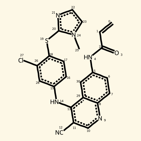 C=CC(=O)Nc1ccc2ncc(C#N)c(Nc3ccc(Sc4nccn4C)c(Cl)c3)c2c1